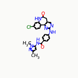 Cc1cc(NC(=O)c2ccc(Nc3ncc4c(n3)-c3ccc(Cl)cc3NC(=O)C4)cc2)n(C)n1